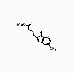 COC(=O)CCCc1cc2cc(C(F)(F)F)ccc2[nH]1